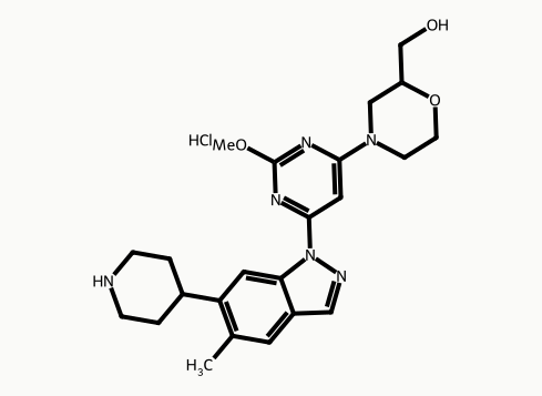 COc1nc(N2CCOC(CO)C2)cc(-n2ncc3cc(C)c(C4CCNCC4)cc32)n1.Cl